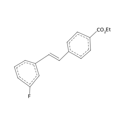 CCOC(=O)c1ccc(/C=C/c2cccc(F)c2)cc1